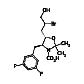 CC1(C)O[C@@H](CC(Br)CO)[C@H](Cc2cc(F)cc(F)c2)N1C(=O)O